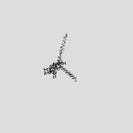 CCCCCCCCCCCCCCCCCC(=O)N[C@@H](COC1OC(CO)C(O)C(O)C1O)[C@H](O)[C@H](O)CCCCCCCCCCCCCC